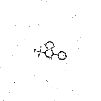 FC(F)(F)c1cnc(-c2ccccc2)c2ccccc12